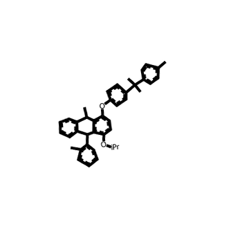 Cc1ccc(C(C)(C)c2ccc(Oc3ccc(OC(C)C)c4c3C(C)c3ccccc3C4c3ccccc3C)cc2)cc1